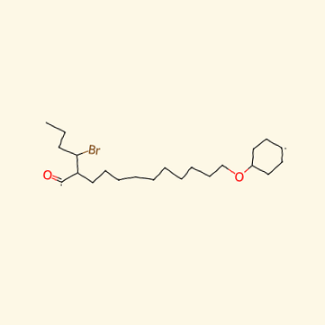 CCCC(Br)C([C]=O)CCCCCCCCCCOC1CC[CH]CC1